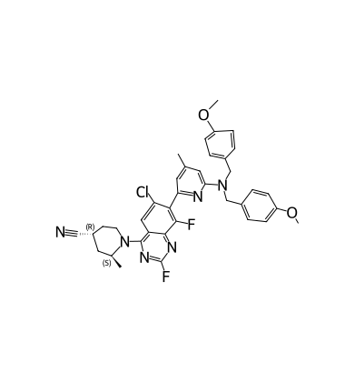 COc1ccc(CN(Cc2ccc(OC)cc2)c2cc(C)cc(-c3c(Cl)cc4c(N5CC[C@@H](C#N)C[C@@H]5C)nc(F)nc4c3F)n2)cc1